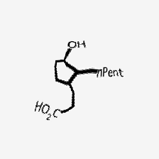 CCCCCC1C(O)CCC1CC(=O)O